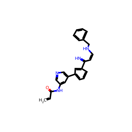 C=CC(=O)Nc1cncc(-c2cccc(C(=N)/C=C\NCc3ccccc3)c2)c1